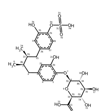 C[C@H](Cc1ccc(O[C@@H]2O[C@H](C(=O)O)[C@@H](O)[C@H](O)[C@H]2O)c(O)c1)[C@@H](C)Cc1ccc(OS(=O)(=O)O)c(O)c1